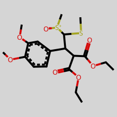 CCOC(=O)C(C(=O)OCC)C(c1ccc(OC)c(OC)c1)C(SC)[S+](C)[O-]